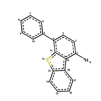 [3H]c1ccc(-c2ccccc2)c2sc3ccccc3c12